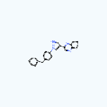 N=C/C(=C\Nc1ccc(Cc2ccccc2)cc1)c1cnc2ccccc2n1